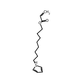 C=CC(=O)OCCCCCCCC[SH]1C=CC=C1